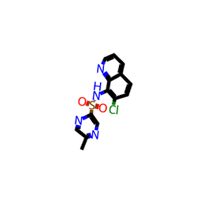 Cc1cnc(S(=O)(=O)Nc2c(Cl)ccc3cccnc23)cn1